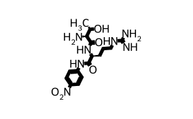 C[C@@H](O)[C@H](N)C(=O)N[C@@H](CCCNC(=N)N)C(=O)Nc1ccc([N+](=O)[O-])cc1